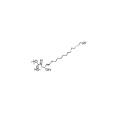 CC(C)(C)OC(=O)N[C@@H](CO)[C@H](O)/C=C/CCCCCCCCCCCCCS